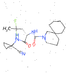 CC(F)(F)C[C@H](NC(=O)N1CCCC2(CCCCC2)C1)C(=O)NC1(C#N)CC1